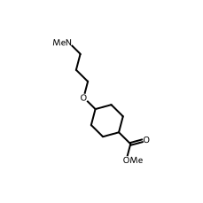 CNCCCOC1CCC(C(=O)OC)CC1